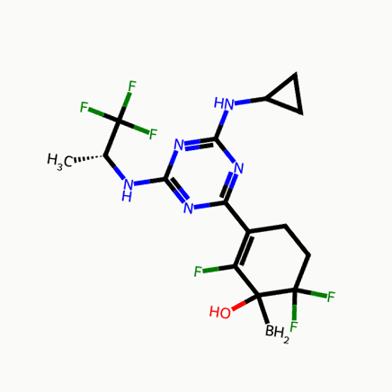 BC1(O)C(F)=C(c2nc(NC3CC3)nc(N[C@H](C)C(F)(F)F)n2)CCC1(F)F